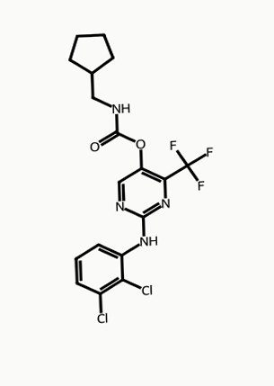 O=C(NCC1CCCC1)Oc1cnc(Nc2cccc(Cl)c2Cl)nc1C(F)(F)F